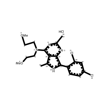 COCCN(CCOC)c1nc(C)nc2c(-c3ccc(Cl)cc3Cl)[nH]c(C)c12.Cl